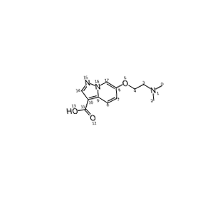 CN(C)CCOc1ccc2c(C(=O)O)cnn2c1